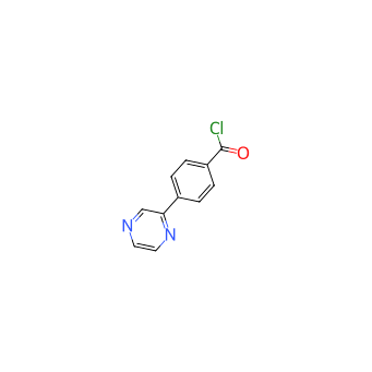 O=C(Cl)c1ccc(-c2cnccn2)cc1